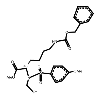 COC(=O)[C@H](CCCCNC(=O)OCc1ccccc1)N(CC(C)C)S(=O)(=O)c1ccc(OC)cc1